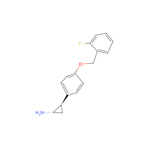 N[C@H]1C[C@@H]1c1ccc(OCc2ccccc2F)cc1